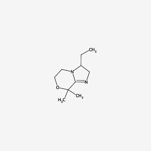 CCC1CN=C2N1CCOC2(C)C